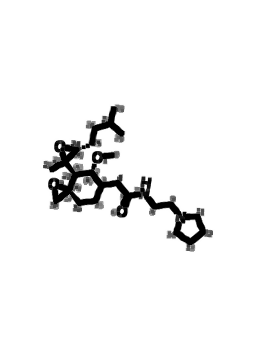 CO[C@@H]1C(CC(=O)NCCN2CCCC2)CC[C@]2(CO2)[C@H]1C1(C)O[C@@H]1CCC(C)C